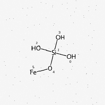 O[Si](O)(O)[O][Fe]